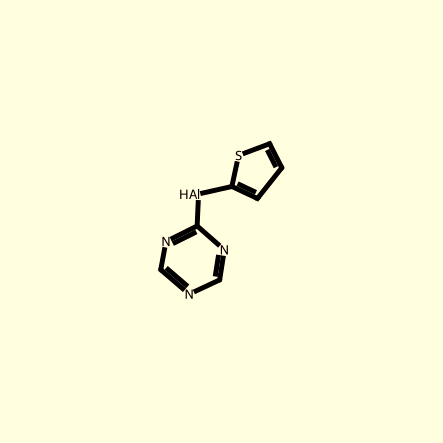 c1cs[c]([AlH][c]2ncncn2)c1